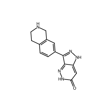 O=c1cc2[nH]nc(-c3ccc4c(c3)CNCC4)c2n[nH]1